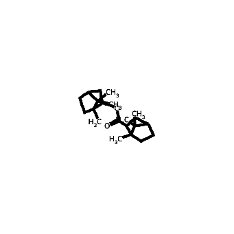 CC1(C)C2CCC1(C)C(OC(=O)C1CC3CCC1(C)C3(C)C)C2